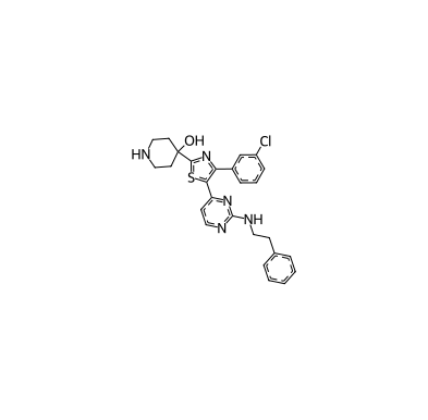 OC1(c2nc(-c3cccc(Cl)c3)c(-c3ccnc(NCCc4ccccc4)n3)s2)CCNCC1